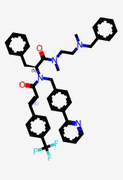 CN(CCN(C)C(=O)[C@H](Cc1ccccc1)N(Cc1ccc(-c2ccccn2)cc1)C(=O)/C=C/c1ccc(C(F)(F)F)cc1)Cc1ccccc1